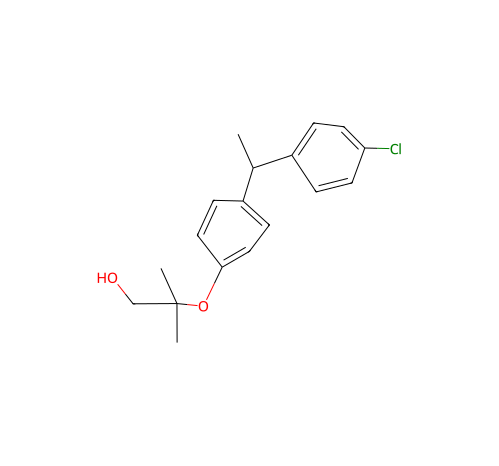 CC(c1ccc(Cl)cc1)c1ccc(OC(C)(C)CO)cc1